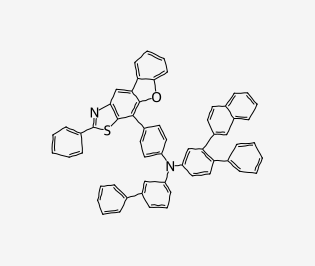 c1ccc(-c2cccc(N(c3ccc(-c4c5oc6ccccc6c5cc5nc(-c6ccccc6)sc45)cc3)c3ccc(-c4ccccc4)c(-c4ccc5ccccc5c4)c3)c2)cc1